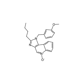 CCCCc1nc2c[n+]([O-])c3ccccc3c2n1Cc1cccc(OC)c1